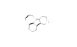 C1=COC2=C3C(=C4CNCCC4N3C1)CCC2